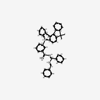 CC1(C)c2ccccc2-c2c1ccc1c2c2ccccc2n1-c1cccc(C(=N)/N=C(\N=C\c2ccccc2)c2ccccc2)c1